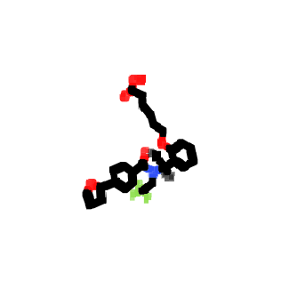 [2H]C([2H])(c1ccccc1OCCCCCC(=O)O)N(CC(F)(F)F)C(=O)c1ccc(-c2ccco2)cc1